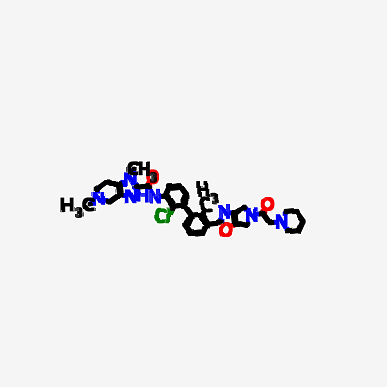 Cc1c(-c2nc3c(o2)CN(C(=O)CN2CCCCC2)C3)cccc1-c1cccc(NC(=O)c2nc3c(n2C)CCN(C)C3)c1Cl